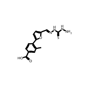 Cc1cc(C(=O)O)ccc1-c1ccc(C=NNC(=S)NN)o1